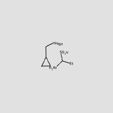 CCC([AsH2])S(=O)(=O)O.CCCCCCCCC1CC1